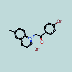 Cc1ccc2c(ccc[n+]2CC(=O)c2ccc(Br)cc2)c1.[Br-]